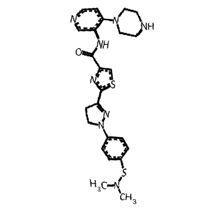 CN(C)Sc1ccc(N2CCC(c3nc(C(=O)Nc4cnccc4N4CCNCC4)cs3)=N2)cc1